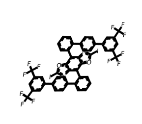 FC(F)(F)c1cc(-c2ccc(-c3ccccc3-c3c4nc(I)oc4c(-c4ccccc4-c4ccc(-c5cc(C(F)(F)F)cc(C(F)(F)F)c5)cc4)c4nc(I)oc34)cc2)cc(C(F)(F)F)c1